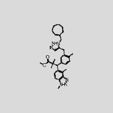 COC(=O)C(C)(C)C(c1ccc(C)c(Cc2cnnn2CC2CCCCCC2)c1)c1ccc2c(nnn2C)c1C